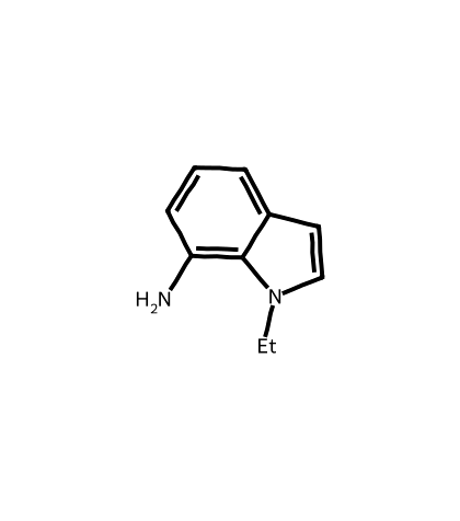 CCn1ccc2cccc(N)c21